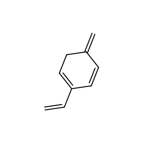 C=CC1=CCC(=C)C=C1